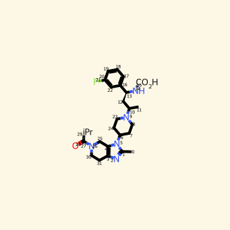 Cc1nc2c(n1C1CCN(C(C)C[C@H](NC(=O)O)c3cccc(F)c3)CC1)CN(C(=O)C(C)C)CC2